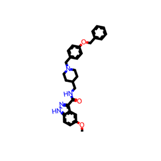 COc1ccc2[nH]nc(C(=O)NCC3CCN(Cc4ccc(OCc5ccccc5)cc4)CC3)c2c1